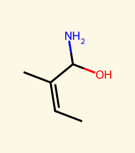 CC=C(C)C(N)O